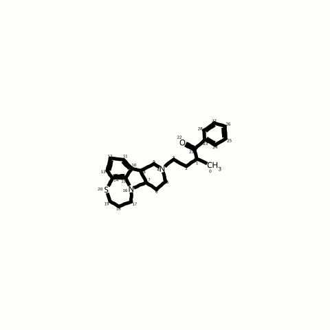 CC(CCN1CCC2C(C1)c1cccc3c1N2CCCS3)C(=O)c1ccccc1